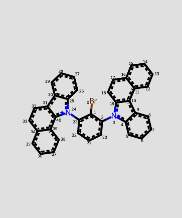 Brc1c(-n2c3ccccc3c3c4ccccc4ccc32)cccc1-n1c2ccccc2c2ccc3ccccc3c21